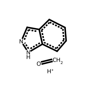 C=O.[H+].c1ccc2[nH]ncc2c1